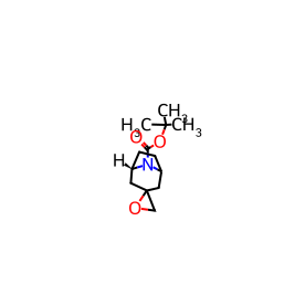 CC(C)(C)OC(=O)N1C2CC[C@H]1CC1(CO1)C2